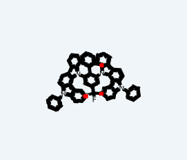 Fc1cccc(F)c1-c1c(-n2c3ccccc3c3ccc4c(c5ccccc5n4-c4ccccc4)c32)cc(C(F)(F)F)cc1-n1c2ccccc2c2ccc3c(c4ccccc4n3-c3ccccc3)c21